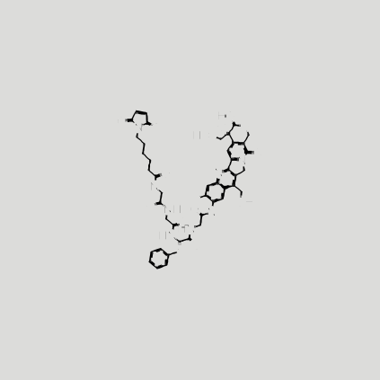 CC[C@@]1(O)C(=O)OCc2c1cc1n(c2=O)Cc2c-1nc1cc(F)c(NC(=O)CNC(=O)[C@H](Cc3ccccc3)NC(=O)CNC(=O)CNC(=O)CCCCCN3C(=O)C=CC3=O)cc1c2CO